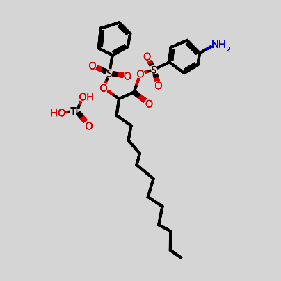 CCCCCCCCCCCCC(OS(=O)(=O)c1ccccc1)C(=O)OS(=O)(=O)c1ccc(N)cc1.[O]=[Ti]([OH])[OH]